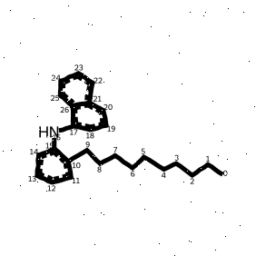 CCCCCCCCCCc1ccccc1Nc1cccc2ccccc12